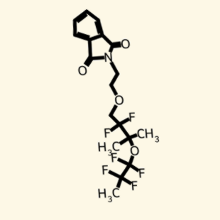 CC(F)(F)C(F)(F)OC(C)(C)C(F)(F)COCCN1C(=O)c2ccccc2C1=O